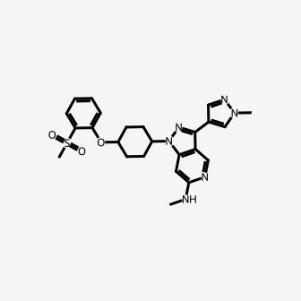 CNc1cc2c(cn1)c(-c1cnn(C)c1)nn2C1CCC(Oc2ccccc2S(C)(=O)=O)CC1